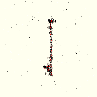 CC1(CCCN(CCOCCOCCOCCOCCC(=O)NCCOCCOCCOCCOCCOCCOCCOCCOCCOCCOCCOCCNC(=O)CCCC[C@@H]2SC[C@@H]3NC(=O)N[C@@H]32)c2nc(-c3cc(-c4ccon4)n(Cc4ccccc4F)n3)ncc2F)N=N1